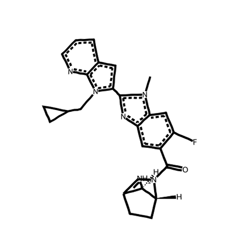 Cn1c(-c2cc3cccnc3n2CC2CC2)nc2cc(C(=O)N3C=C4CC[C@@H]3[C@@H]4N)c(F)cc21